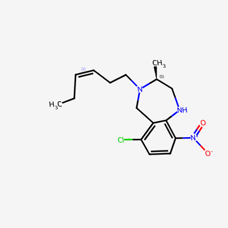 CC/C=C\CCN1Cc2c(Cl)ccc([N+](=O)[O-])c2NC[C@@H]1C